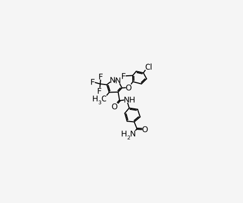 Cc1c(C(F)(F)F)nnc(Oc2ccc(Cl)cc2F)c1C(=O)Nc1ccc(C(N)=O)cc1